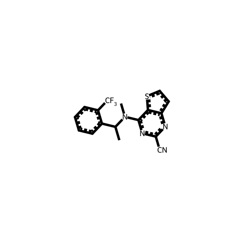 CC(c1ccccc1C(F)(F)F)N(C)c1nc(C#N)nc2ccsc12